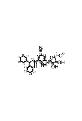 COC[C@H]1O[C@@H](n2cnc3c(NCC(c4ccccc4)c4ccccc4)nc(C#N)nc32)[C@H](O)[C@@H]1O